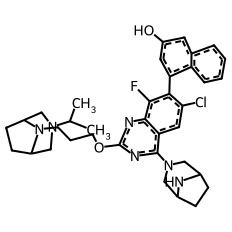 CC(C)N1CC2CCC(C1)N2CCCOc1nc(N2CC3CCC(C2)N3)c2cc(Cl)c(-c3cc(O)cc4ccccc34)c(F)c2n1